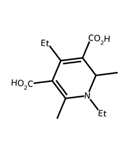 CCC1=C(C(=O)O)C(C)N(CC)C(C)=C1C(=O)O